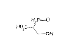 O=[PH2]C(CO)C(=O)O